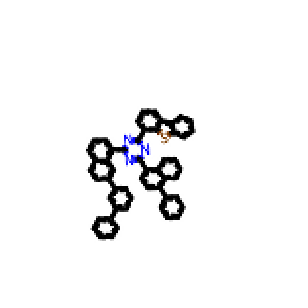 c1ccc(-c2cccc(-c3ccc4cccc(-c5nc(-c6ccc(-c7ccccc7)c7ccccc67)nc(-c6cccc7c6sc6ccccc67)n5)c4c3)c2)cc1